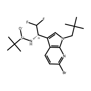 CC(C)(C)Cn1cc([C@H](N[S+]([O-])C(C)(C)C)C(F)F)c2ccc(Br)nc21